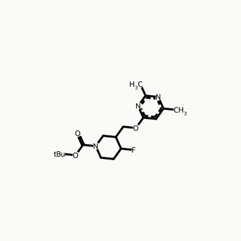 Cc1cc(OCC2CN(C(=O)OC(C)(C)C)CCC2F)nc(C)n1